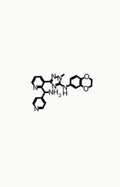 Cn1nc(-c2cccnc2C(N)c2ccncc2)nc1Nc1ccc2c(c1)OCCO2